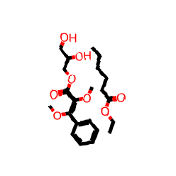 CCCCCC(=O)OCC.COC(C(=O)OCC(O)CO)=C(OC)c1ccccc1